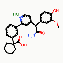 COc1cc(C(C(N)=O)c2ccnc(-c3cccc(C4(C(=O)O)CCCCC4)c3)c2)ccc1O.Cl